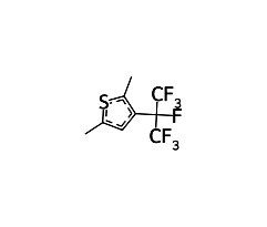 Cc1cc(C(F)(C(F)(F)F)C(F)(F)F)c(C)s1